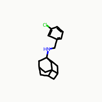 Clc1cccc(CNC23CC4CC5CC(C2)C5(C4)C3)c1